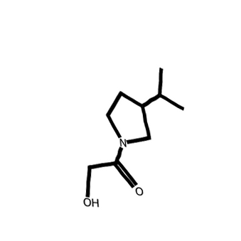 CC(C)C1CCN(C(=O)CO)C1